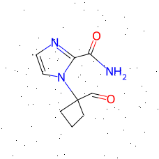 NC(=O)c1n[c]cn1C1(C=O)CCC1